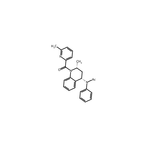 CC(=O)N(c1ccccc1)[C@H]1C[C@@H](C)N(C(=O)c2cccc(C)n2)c2ccccc21